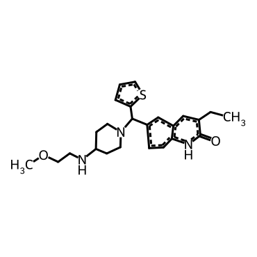 CCc1cc2cc(C(c3cccs3)N3CCC(NCCOC)CC3)ccc2[nH]c1=O